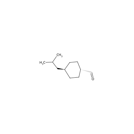 CC(C)C[C@H]1CC[C@H](C=O)CC1